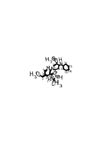 CCc1cnc(N2CCC(NC3CCCCC3)C(OC)C2)c(C(=O)NC(C)=N)c1